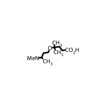 CNC(C)CCOC(C)(C)CCC(=O)O